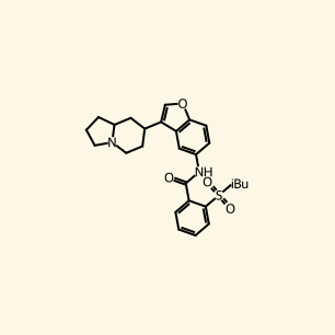 CCC(C)S(=O)(=O)c1ccccc1C(=O)Nc1ccc2occ(C3CCN4CCCC4C3)c2c1